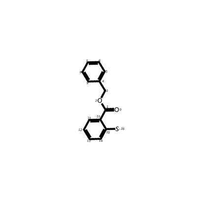 O=C(OCc1ccccc1)c1ccccc1[S]